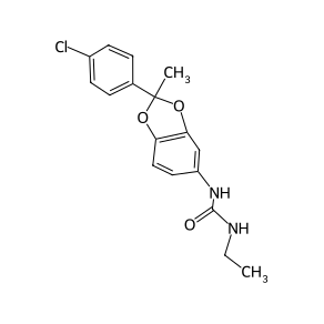 CCNC(=O)Nc1ccc2c(c1)OC(C)(c1ccc(Cl)cc1)O2